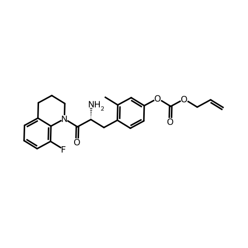 C=CCOC(=O)Oc1ccc(C[C@@H](N)C(=O)N2CCCc3cccc(F)c32)c(C)c1